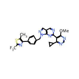 COc1ncnc(C2CC2)c1-c1ncc2cnn(Cc3ccc(-c4nc(C(F)(F)F)sc4C)cc3)c2n1